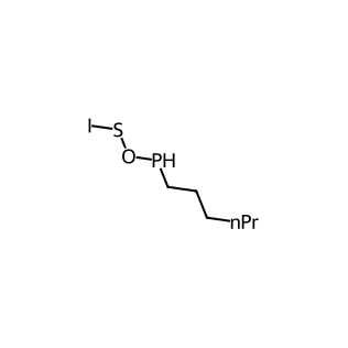 CCCCCCPOSI